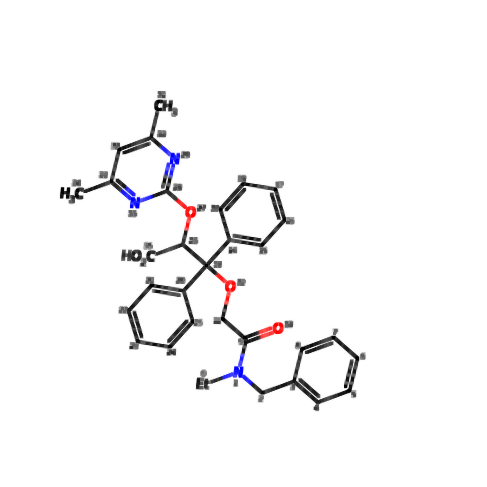 CCN(Cc1ccccc1)C(=O)COC(c1ccccc1)(c1ccccc1)C(Oc1nc(C)cc(C)n1)C(=O)O